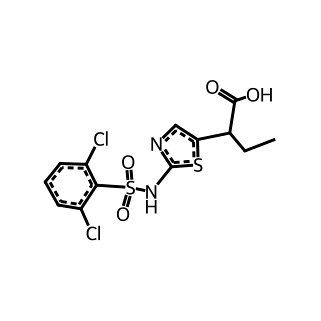 CCC(C(=O)O)c1cnc(NS(=O)(=O)c2c(Cl)cccc2Cl)s1